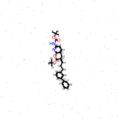 CC(C)(C)OC(=O)Nc1ccc(CC(=CCCc2cccc(-c3ccccc3)c2)C(=O)OC(C)(C)C)cn1